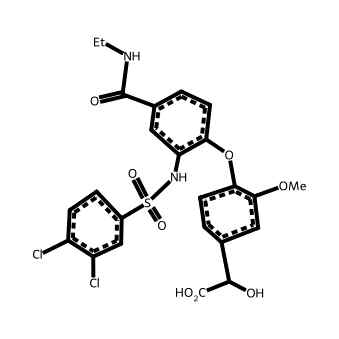 CCNC(=O)c1ccc(Oc2ccc(C(O)C(=O)O)cc2OC)c(NS(=O)(=O)c2ccc(Cl)c(Cl)c2)c1